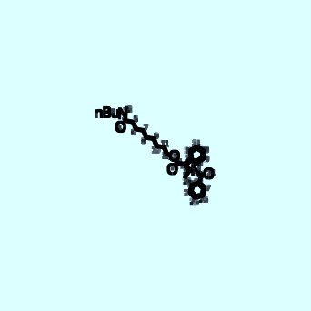 CCCCN(C)C(=O)CCCCCCCCOC(=O)c1c(C)n(C(=O)c2ccccc2)c2ccccc12